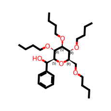 CCCCOC[C@H]1O[C@@H](C(O)c2ccccc2)[C@H](OCCCC)[C@@H](OCCCC)[C@@H]1OCCCC